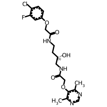 Cc1ncnc(C)c1OCC(=O)NC[C@@H](O)CCNC(=O)COc1ccc(Cl)c(F)c1